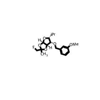 COc1cccc(CO[C@@H]2[C@H]3OC(C)(CF)O[C@H]3O[C@@H]2C(C)C)c1